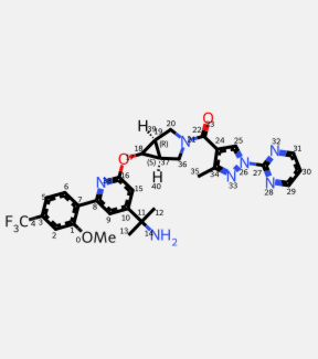 COc1cc(C(F)(F)F)ccc1-c1cc(C(C)(C)N)cc(OC2[C@H]3CN(C(=O)c4cn(-c5ncccn5)nc4C)C[C@@H]23)n1